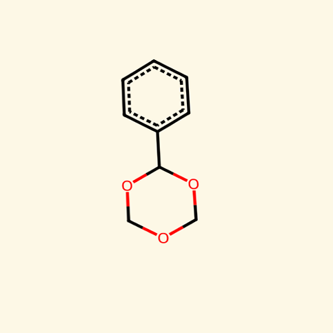 c1ccc(C2OCOCO2)cc1